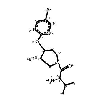 CC(C)[C@H](N)C(=O)N1CCC(Oc2ncc(Br)cn2)CC1.Cl